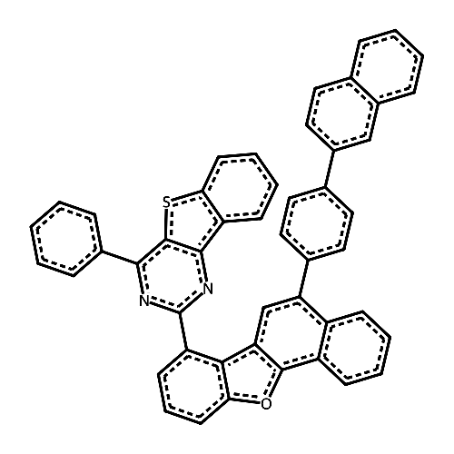 c1ccc(-c2nc(-c3cccc4oc5c6ccccc6c(-c6ccc(-c7ccc8ccccc8c7)cc6)cc5c34)nc3c2sc2ccccc23)cc1